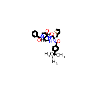 CC(C)(C)c1ccc(C(=O)N[C@@H](Cc2cccs2)C(=O)N2CC[C@@H]3[C@H]2C(=O)CN3C(=O)c2ccccc2)cc1